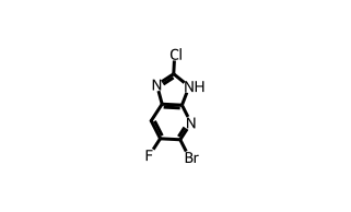 Fc1cc2nc(Cl)[nH]c2nc1Br